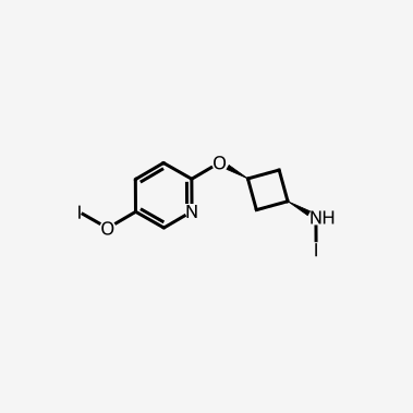 IN[C@H]1C[C@@H](Oc2ccc(OI)cn2)C1